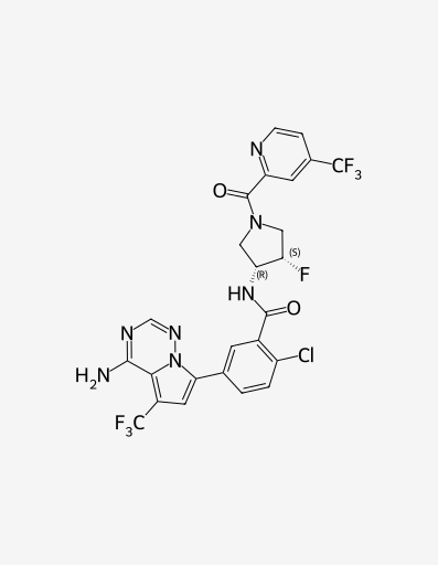 Nc1ncnn2c(-c3ccc(Cl)c(C(=O)N[C@@H]4CN(C(=O)c5cc(C(F)(F)F)ccn5)C[C@@H]4F)c3)cc(C(F)(F)F)c12